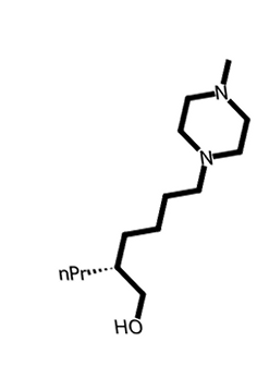 CCC[C@@H](CO)CCCCN1CCN(C)CC1